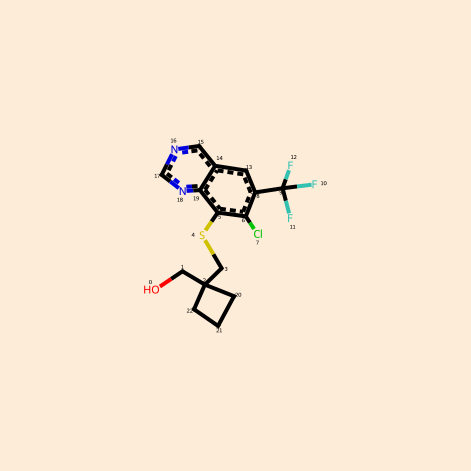 OCC1(CSc2c(Cl)c(C(F)(F)F)cc3cncnc23)CCC1